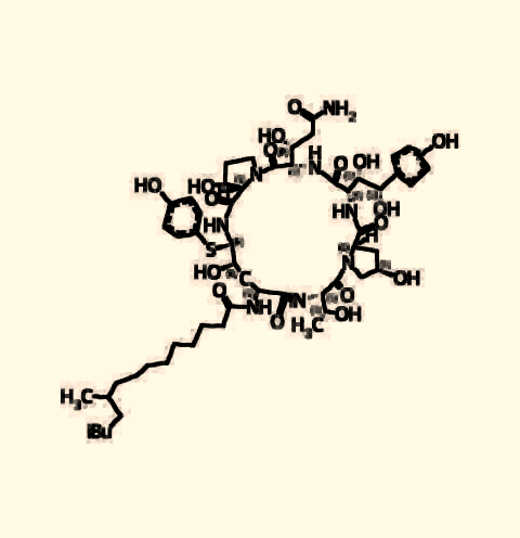 CCC(C)CC(C)CCCCCCCCC(=O)N[C@H]1C[C@@H](O)[C@@H](Sc2ccc(O)cc2)NC(=O)[C@@H]2[C@@H](O)CCN2C(=O)[C@H]([C@H](O)CC(N)=O)NC(=O)[C@H]([C@H](O)[C@@H](O)c2ccc(O)cc2)NC(=O)[C@@H]2C[C@@H](O)CN2C(=O)[C@H]([C@@H](C)O)NC1=O